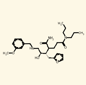 CCCN(CCC)C(=O)CCC(C(N)=O)[C@H](Cc1ccco1)[C@@H](O)CNCc1cccc(OC)c1